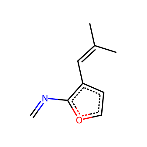 C=Nc1occc1C=C(C)C